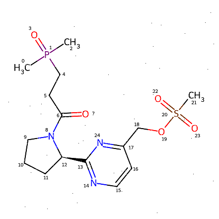 CP(C)(=O)CCC(=O)N1CCC[C@@H]1c1nccc(COS(C)(=O)=O)n1